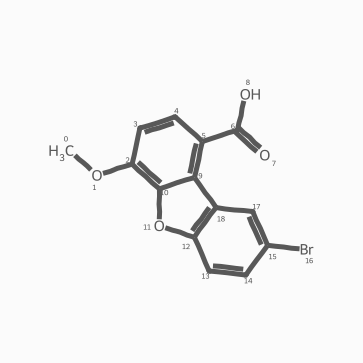 COc1ccc(C(=O)O)c2c1oc1ccc(Br)cc12